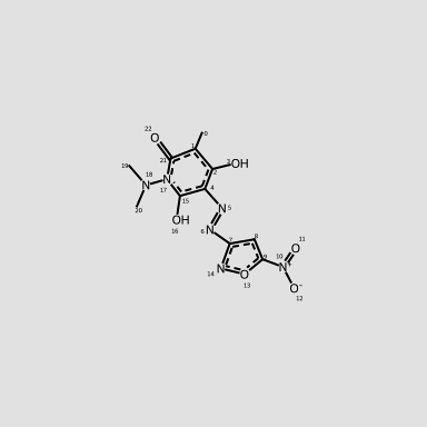 Cc1c(O)c(N=Nc2cc([N+](=O)[O-])on2)c(O)n(N(C)C)c1=O